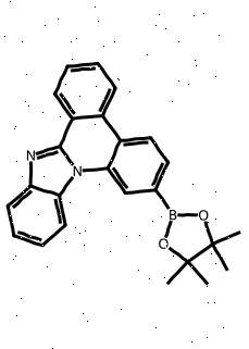 CC1(C)OB(c2ccc3c4ccccc4c4nc5ccccc5n4c3c2)OC1(C)C